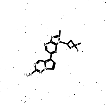 Cc1nc2ncc(-c3ccn4nc(N)ncc34)cc2n1C1CC(C)(F)C1